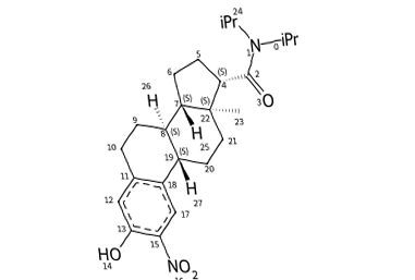 CC(C)N(C(=O)[C@H]1CC[C@H]2[C@@H]3CCc4cc(O)c([N+](=O)[O-])cc4[C@H]3CC[C@]12C)C(C)C